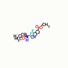 CCOC(=O)c1ccc(CN2CCC(CNC(=O)OC(C)(C)C)C2)c(C(F)(F)F)c1